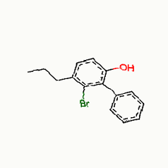 CCCc1ccc(O)c(-c2ccccc2)c1Br